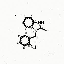 CC1Nc2ccccc2N1Cc1ccccc1Cl